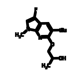 CC(O)COc1nc2c(cc1C(C)(C)C)c(F)cn2C